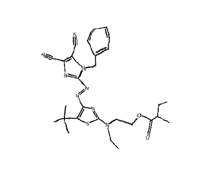 CCC(C)C(=O)OCCN(CC)c1nc(/N=N/c2nc(C#N)c(C#N)n2Cc2ccccc2)c(C(C)(C)C)s1